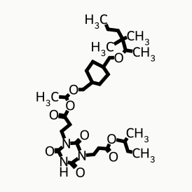 CCCC(C)(C)C(C)OCC1CCC(COC(C)OC(=O)CCn2c(=O)[nH]c(=O)n(CCC(=O)OC(C)CC)c2=O)CC1